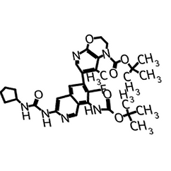 Cc1c(-c2cc3cc(NC(=O)NC4CCCC4)ncc3c(NC(=O)OC(C)(C)C)c2F)cnc2c1N(C(=O)OC(C)(C)C)CCO2